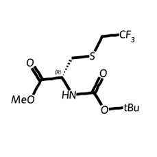 COC(=O)[C@H](CSCC(F)(F)F)NC(=O)OC(C)(C)C